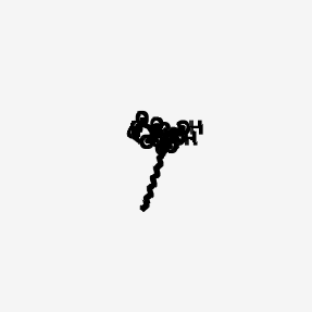 CCCCCCCCCCCCOC(=O)CC(CC(=O)O)(OS(=O)(=O)C1CC(=O)OOCCOC1=O)C(=O)O